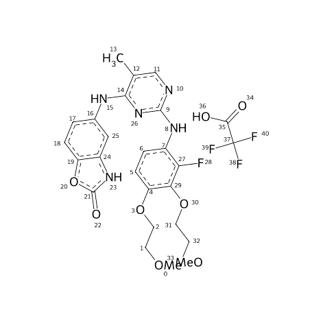 COCCOc1ccc(Nc2ncc(C)c(Nc3ccc4oc(=O)[nH]c4c3)n2)c(F)c1OCCOC.O=C(O)C(F)(F)F